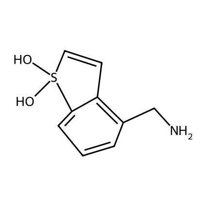 NCc1cccc2c1C=CS2(O)O